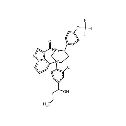 CCCC(O)c1ccc([N+]2(c3cccn4ncc(C(N)=O)c34)CCC(c3ccc(OC(F)(F)F)cc3)CC2)c(Cl)c1